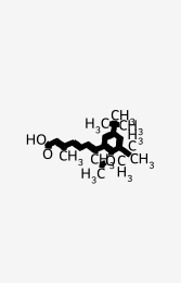 CCOc1c(/C(C)=C/C=C/C(C)=C/C(=O)O)cc(C(C)(C)C)cc1C(C)(C)C